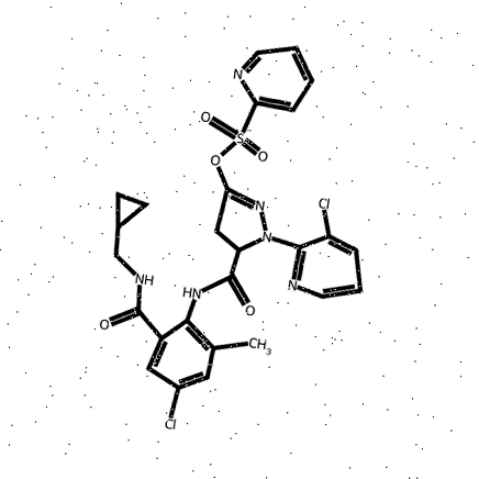 Cc1cc(Cl)cc(C(=O)NCC2CC2)c1NC(=O)C1CC(OS(=O)(=O)c2ccccn2)=NN1c1ncccc1Cl